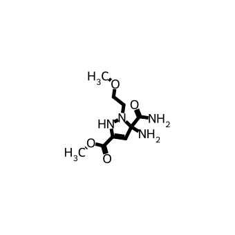 COCCN1NC(C(=O)OC)=CC1(N)C(N)=O